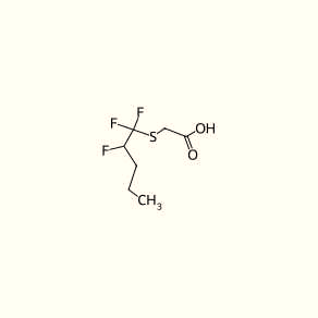 CCCC(F)C(F)(F)SCC(=O)O